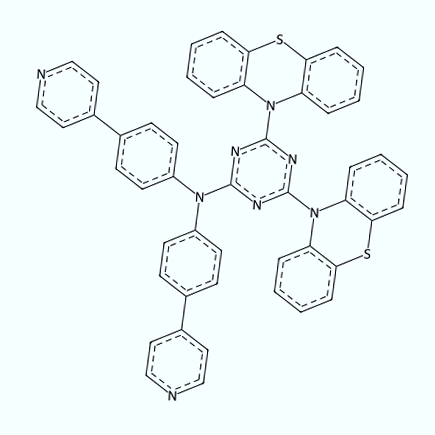 c1ccc2c(c1)Sc1ccccc1N2c1nc(N(c2ccc(-c3ccncc3)cc2)c2ccc(-c3ccncc3)cc2)nc(N2c3ccccc3Sc3ccccc32)n1